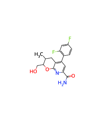 CC1Cc2c(-c3ccc(F)cc3F)cc(C(N)=O)nc2OC1CO